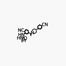 C=C(c1ccc(C#N)c(NC(=O)NC(C)C)c1)N1CCC(c2ccc(C#N)cc2)CC1